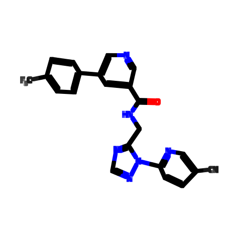 N#Cc1ccc(-n2ncnc2CNC(=O)c2cncc(-c3ccc(C(F)(F)F)cc3)c2)nc1